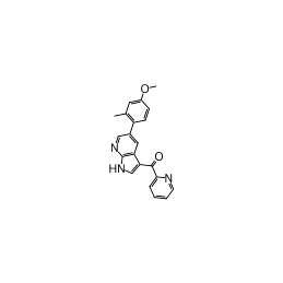 COc1ccc(-c2cnc3[nH]cc(C(=O)c4ccccn4)c3c2)c(C)c1